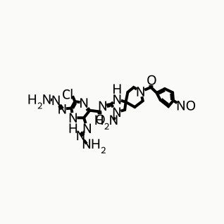 NN=NC1=C(Cl)N=C(C(=O)/N=C2/NC3(CCN(C(=O)c4ccc(N=O)cc4)CC3)CN2N)C(N=NN)N1